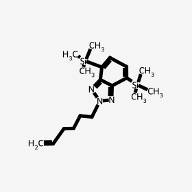 C=CCCCCn1nc2c([Si](C)(C)C)ccc([Si](C)(C)C)c2n1